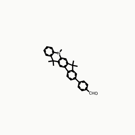 CN1c2ccccc2C(C)(C)c2cc3c(cc21)C(C)(C)c1cc(-c2ccc(C=O)cc2)ccc1-3